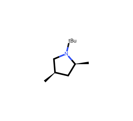 C[C@@H]1C[C@H](C)N(C(C)(C)C)C1